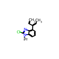 C=C/C(=C\C)c1cccc2c1nc(Cl)n2C(C)C